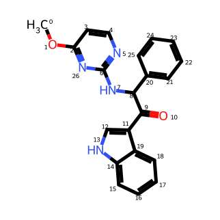 COc1ccnc(NC(C(=O)c2c[nH]c3ccccc23)c2ccccc2)n1